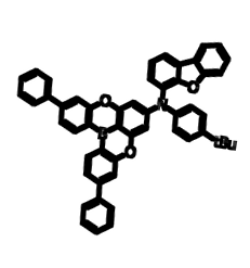 CC(C)(C)c1ccc(N(c2cc3c4c(c2)Oc2cc(-c5ccccc5)ccc2B4c2ccc(-c4ccccc4)cc2O3)c2cccc3c2oc2ccccc23)cc1